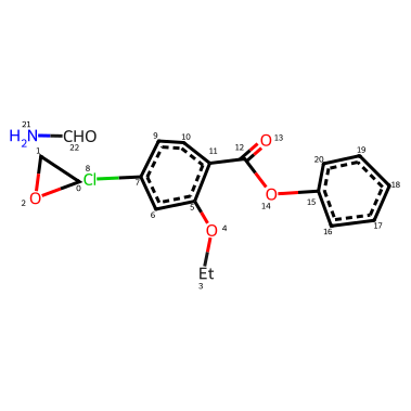 C1CO1.CCOc1cc(Cl)ccc1C(=O)Oc1ccccc1.NC=O